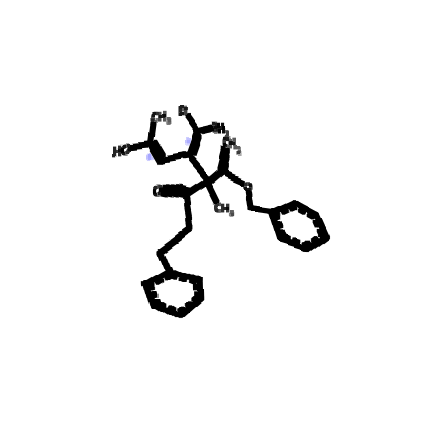 B/C(CC)=C(/C=C(\C)O)C(C)(C(=C)OCc1ccccc1)C(=O)CCc1ccccc1